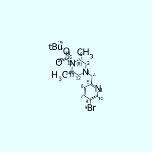 C[C@@H]1CN(Cc2ccc(Br)cn2)C[C@H](C)N1C(=O)OC(C)(C)C